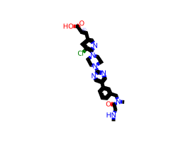 CNCC(=O)N(C)Cc1cccc(-c2cnc(N3CCN(c4ncc(/C=C/C(=O)O)cc4Cl)CC3)nc2)c1